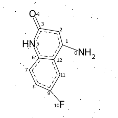 Nc1cc(=O)[nH]c2ccc(F)cc12